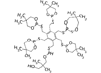 CC(C)(CO)COPSCc1c(CSP2OCC(C)(C)CO2)c(CSP2OCC(C)(C)CO2)c(CSP2OCC(C)(C)CO2)c(CSP2OCC(C)(C)COS2)c1CSP1OCC(C)(C)CO1